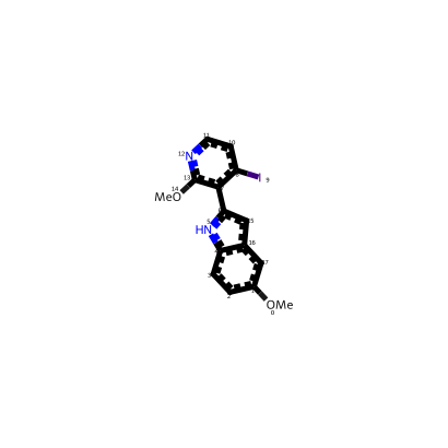 COc1ccc2[nH]c(-c3c(I)ccnc3OC)cc2c1